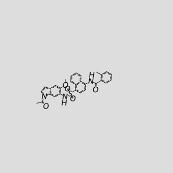 COc1cc2ccn(C(C)=O)c2cc1NS(=O)(=O)c1ccc(NC(=O)c2ccccc2C)c2ccccc12